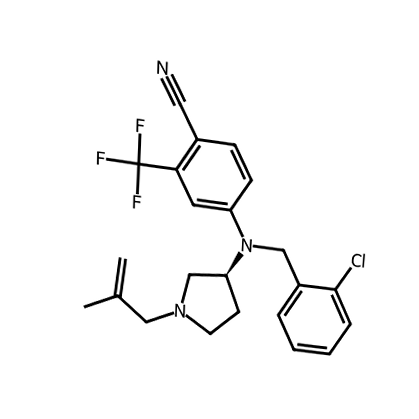 C=C(C)CN1CC[C@H](N(Cc2ccccc2Cl)c2ccc(C#N)c(C(F)(F)F)c2)C1